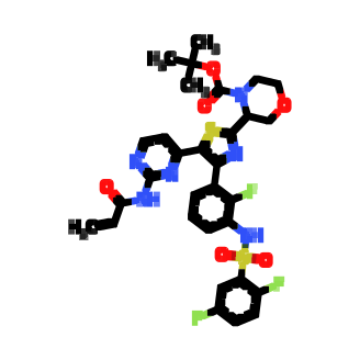 C=CC(=O)Nc1nccc(-c2sc(C3COCCN3C(=O)OC(C)(C)C)nc2-c2cccc(NS(=O)(=O)c3cc(F)ccc3F)c2F)n1